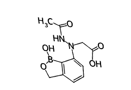 CC(=O)NN(CC(=O)O)c1cccc2c1B(O)OC2